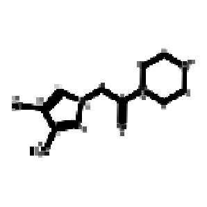 Cc1nn(CC(=O)N2CCOCC2)cc1Br